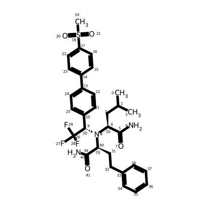 CC(C)C[C@@H](C(N)=O)N([C@@H](c1ccc(-c2ccc(S(C)(=O)=O)cc2)cc1)C(F)(F)F)[C@@H](CCc1ccccc1)C(N)=O